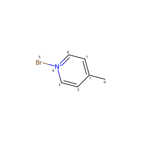 Cc1cc[n+](Br)cc1